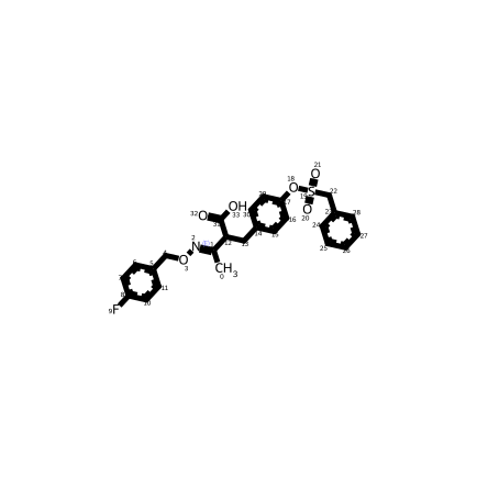 C/C(=N\OCc1ccc(F)cc1)C(Cc1ccc(OS(=O)(=O)Cc2ccccc2)cc1)C(=O)O